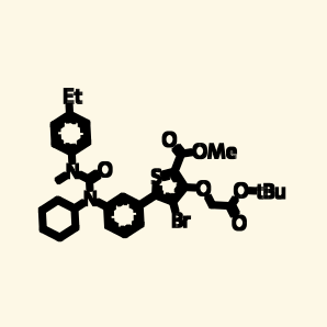 CCc1ccc(N(C)C(=O)N(c2cccc(-c3sc(C(=O)OC)c(OCC(=O)OC(C)(C)C)c3Br)c2)C2CCCCC2)cc1